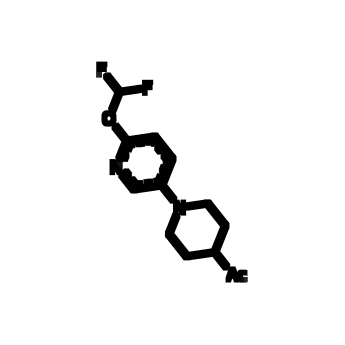 CC(=O)C1CCN(c2ccc(OC(F)F)nc2)CC1